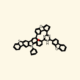 c1ccc(C2=NC(c3cccc4oc5ccc(-c6ccc7c(c6)c6cc8sc9ccccc9c8cc6n7-c6ccccc6)cc5c34)=NC(c3ccc4c(c3)oc3ccccc34)N2)cc1